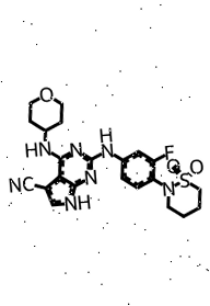 N#Cc1c[nH]c2nc(Nc3ccc(N4CCCCS4(=O)=O)c(F)c3)nc(NC3CCOCC3)c12